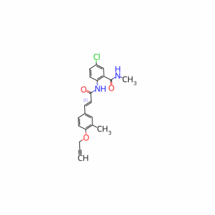 C#CCOc1ccc(/C=C/C(=O)Nc2ccc(Cl)cc2C(=O)NC)cc1C